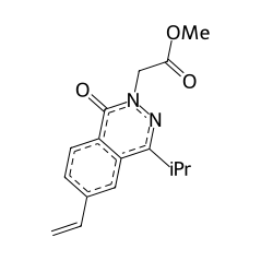 C=Cc1ccc2c(=O)n(CC(=O)OC)nc(C(C)C)c2c1